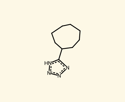 C1CCCC(c2nnn[nH]2)CCC1